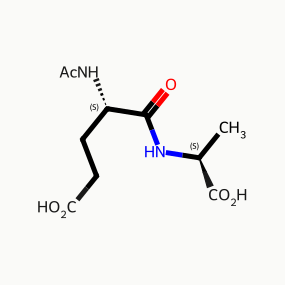 CC(=O)N[C@@H](CCC(=O)O)C(=O)N[C@@H](C)C(=O)O